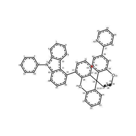 c1ccc(-n2c3ccccc3c3c(-c4cccc5c4Oc4ccccc4C54c5ccccc5Oc5cc(-c6ccccn6)ccc54)cccc32)cc1